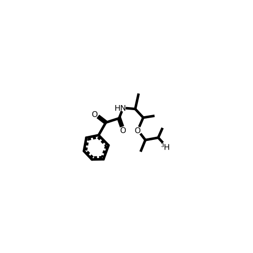 [3H]C(C)C(C)OC(C)C(C)NC(=O)C(=O)c1ccccc1